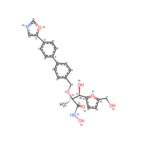 C[C@@](OCc1ccc(-c2ccc(-c3cnco3)cc2)cc1)(C(=O)NO)[C@@H](O)c1ccc(CO)o1